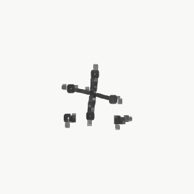 O=S(=O)([O-])[O-].[Ba+2].[Cd]